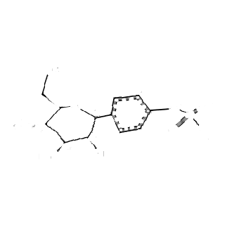 CC(=O)OC[C@H]1OC(c2ccc(OS(=O)(=O)C(F)(F)F)cc2)[C@@H](C)[C@@H](C)[C@@H]1OC(C)=O